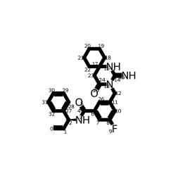 C=C[C@H](NC(=O)c1cc(F)cc(CN2C(=N)NC3(CCCCC3)CC2=O)c1)c1ccccc1